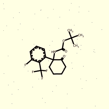 CC(C)(C)OC(=O)NC1(c2cccc(F)c2C(F)(F)F)CCCCC1=O